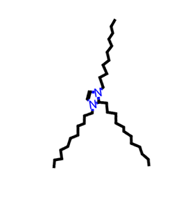 CCCCCCCCCCCCC1N(CCCCCCCCCCC)C=CN1CCCCCCCCCCC